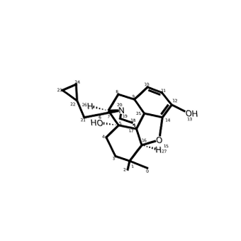 CC1(C)CC[C@@]2(O)[C@H]3CC4C=CC(O)=C5O[C@@H]1[C@]2(CCN3CC1CC1)C54